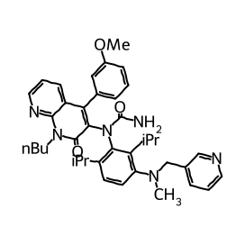 CCCCn1c(=O)c(N(C(N)=O)c2c(C(C)C)ccc(N(C)Cc3cccnc3)c2C(C)C)c(-c2cccc(OC)c2)c2cccnc21